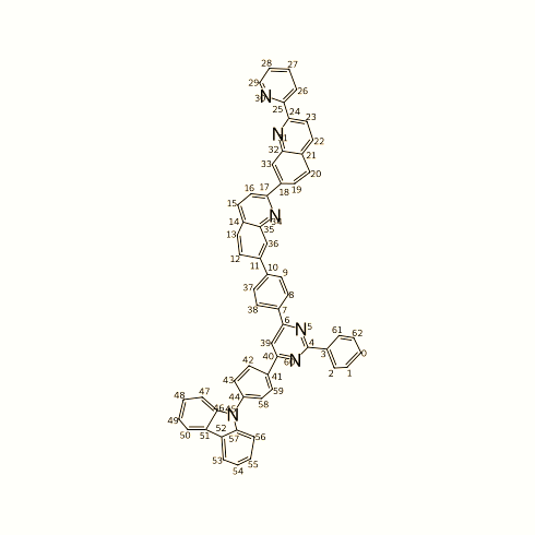 c1ccc(-c2nc(-c3ccc(-c4ccc5ccc(-c6ccc7ccc(-c8ccccn8)nc7c6)nc5c4)cc3)cc(-c3ccc(-n4c5ccccc5c5ccccc54)cc3)n2)cc1